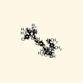 Cc1ncsc1-c1ccc([C@H](C)NC(=O)[C@@H]2C[C@@H](O)CN2C(=O)C(NC(=O)COc2ccc(O[C@H](C)CNC(=O)C[C@@H]3N=C(c4ccc(Cl)cc4)c4c(sc(C)c4C)-n4c(C)nnc43)nc2)C(C)(C)C)cc1